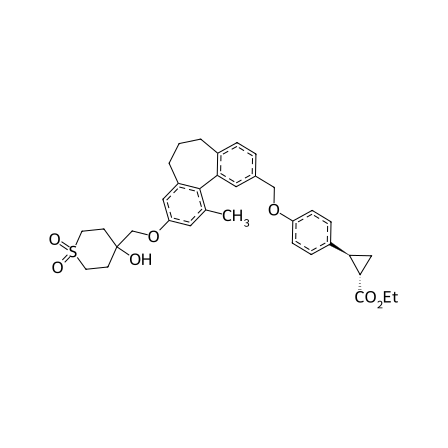 CCOC(=O)[C@H]1C[C@@H]1c1ccc(OCc2ccc3c(c2)-c2c(C)cc(OCC4(O)CCS(=O)(=O)CC4)cc2CCC3)cc1